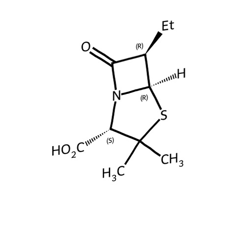 CC[C@@H]1C(=O)N2[C@@H]1SC(C)(C)[C@@H]2C(=O)O